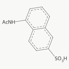 CC(=O)Nc1cccc2cc(S(=O)(=O)O)ccc12